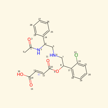 CC(=O)NC(CNCC(OC(=O)/C=C/C(=O)O)c1ccccc1Cl)c1ccccc1